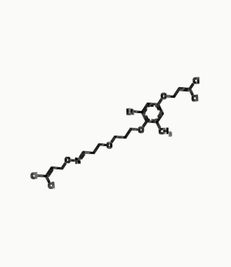 CCc1cc(OCC=C(Cl)Cl)cc(C)c1OCCCOCCC=NOCC=C(Cl)Cl